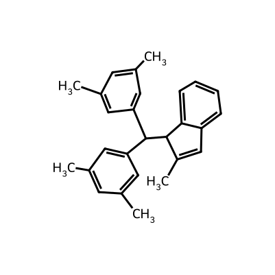 CC1=Cc2ccccc2C1C(c1cc(C)cc(C)c1)c1cc(C)cc(C)c1